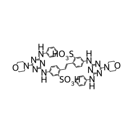 O=S(=O)(O)c1cc(Nc2nc(Nc3ccccc3)nc(N3CCOCC3)n2)ccc1C=Cc1ccc(Nc2nc(Nc3ccccc3)nc(N3CCOCC3)n2)cc1S(=O)(=O)O